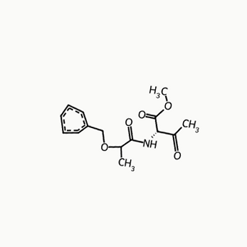 COC(=O)[C@@H](NC(=O)C(C)OCc1ccccc1)C(C)=O